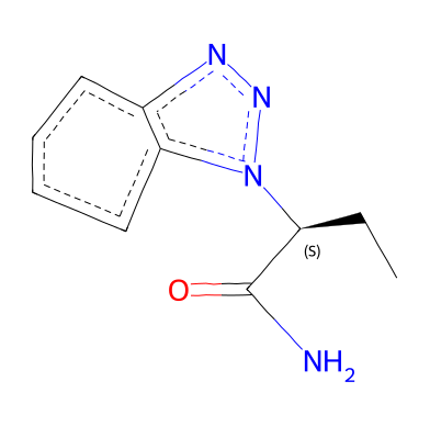 CC[C@@H](C(N)=O)n1nnc2ccccc21